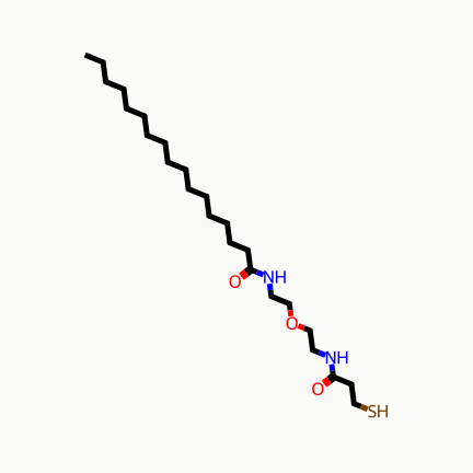 CCCCCCCCCCCCCCCCC(=O)NCCOCCNC(=O)CCS